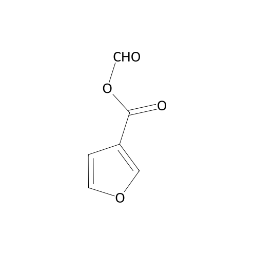 O=COC(=O)c1ccoc1